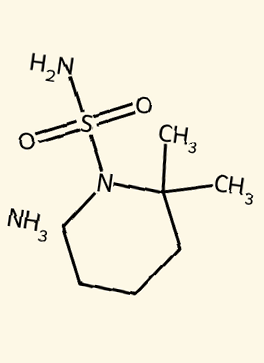 CC1(C)CCCCN1S(N)(=O)=O.N